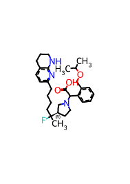 CC(C)OCc1ccccc1C(C(=O)O)N1CC[C@@H](C(C)(F)CCCCc2ccc3c(n2)NCCC3)C1